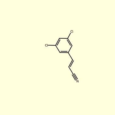 N#C/C=C/c1cc(Cl)cc(Cl)c1